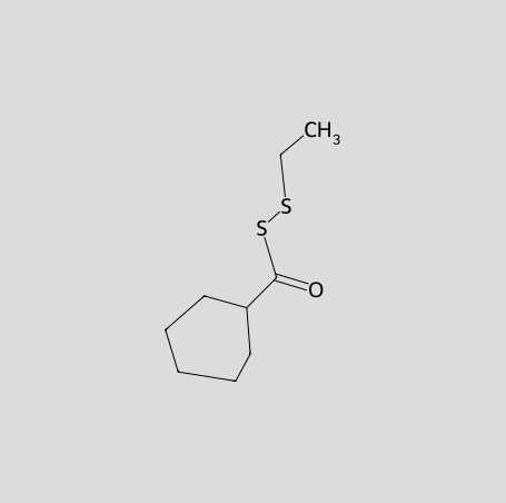 CCSSC(=O)C1CCCCC1